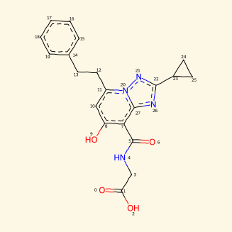 O=C(O)CNC(=O)c1c(O)cc(CCc2ccccc2)n2nc(C3CC3)nc12